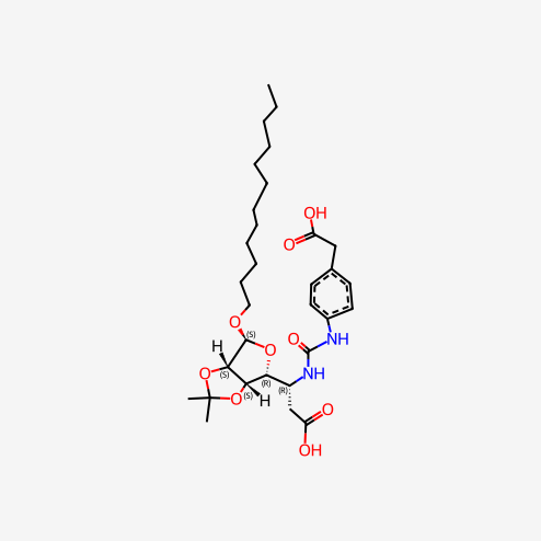 CCCCCCCCCCCCO[C@H]1O[C@H]([C@@H](CC(=O)O)NC(=O)Nc2ccc(CC(=O)O)cc2)[C@@H]2OC(C)(C)O[C@H]12